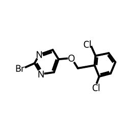 Clc1cccc(Cl)c1COc1cnc(Br)nc1